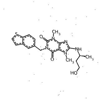 C[C@@H](CCO)Nc1nc2c(c(=O)n(Cc3ccc4sccc4c3)c(=O)n2C)n1C